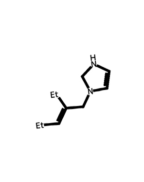 CC/C=C(\CC)CN1C=CNC1